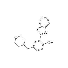 Oc1ccc(CN2CCOCC2)cc1-c1nc2ccccc2s1